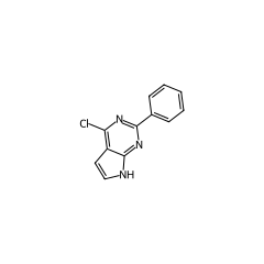 Clc1nc(-c2ccccc2)nc2[nH]ccc12